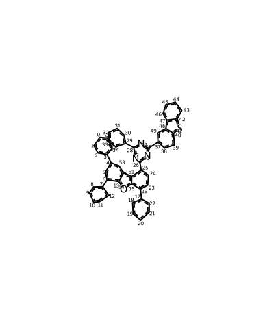 c1ccc(-c2cc(-c3ccccc3)c3oc4c(-c5ccccc5)ccc(-c5nc(-c6ccccc6)nc(-c6ccc7sc8ccccc8c7c6)n5)c4c3c2)cc1